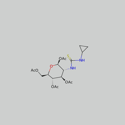 CC(=O)OC[C@H]1O[C@@H](OC(C)=O)[C@H](NC(=S)NC2CC2)[C@@H](OC(C)=O)[C@@H]1OC(C)=O